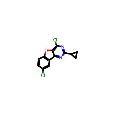 Clc1ccc2oc3c(Cl)nc(C4CC4)nc3c2c1